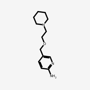 Nc1ccc(COCCN2CCCCC2)cn1